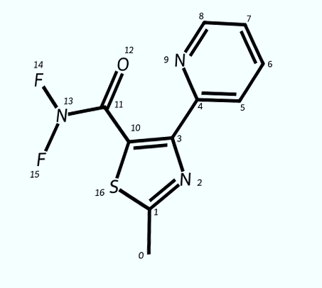 Cc1nc(-c2ccccn2)c(C(=O)N(F)F)s1